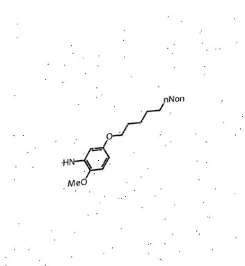 CCCCCCCCCCCCCCOc1ccc(OC)c([NH])c1